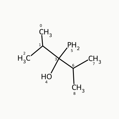 CC(C)C(O)(P)C(C)C